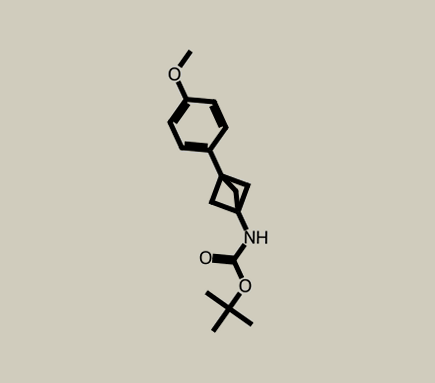 COc1ccc(C23CC(NC(=O)OC(C)(C)C)(C2)C3)cc1